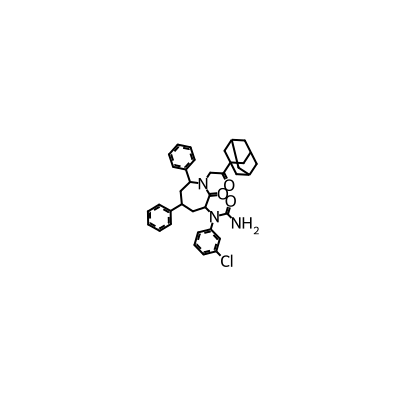 NC(=O)N(c1cccc(Cl)c1)C1CC(c2ccccc2)CC(c2ccccc2)N(CC(=O)C23CC4CC(CC(C4)C2)C3)C1=O